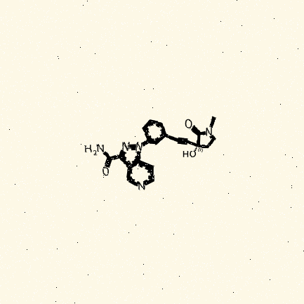 CN1CC[C@@](O)(C#Cc2cccc(-n3nc(C(N)=O)c4cnccc43)c2)C1=O